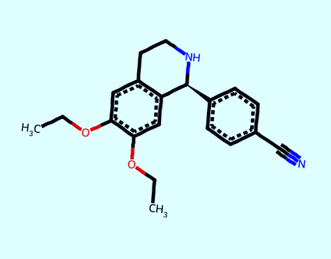 CCOc1cc2c(cc1OCC)[C@H](c1ccc(C#N)cc1)NCC2